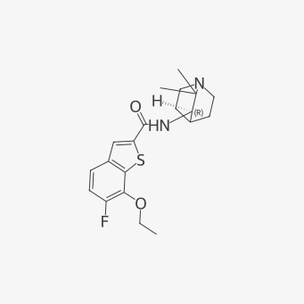 CCOc1c(F)ccc2cc(C(=O)N[C@@H]3C4CCN(CC4)C3(C)C)sc12